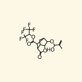 C=C(C)C(O)OC1C2CC3C1OC(=O)C3C2C(=O)OC(C(F)(F)F)C(F)(F)F